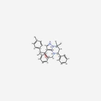 Cc1ccc(C(C)C(=O)c2cnn3c2N(Cc2ccccc2)C(c2ccccc2)CC3(C)C)cc1